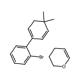 C1=COCCC1.CC1(C)C=CC(c2ccccc2Br)=CC1